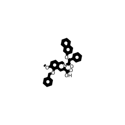 COc1ccc2c(c1OCc1ccccc1)CC(C(=O)O)N(C(=O)C(Oc1ccc3ccccc3c1)c1ccccc1)C2